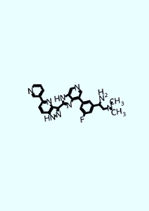 CN(C)CC(N)c1cc(F)cc(-c2cncc3[nH]c(-c4n[nH]c5ccc(-c6cccnc6)nc45)nc23)c1